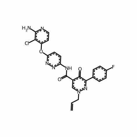 C=CCn1cc(C(=O)Nc2ccc(Oc3ccnc(N)c3Cl)nn2)c(=O)c(-c2ccc(F)cc2)n1